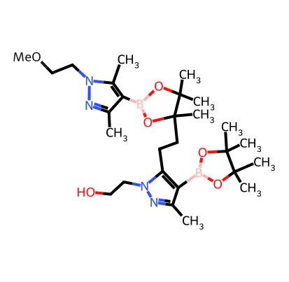 COCCn1nc(C)c(B2OC(C)(C)C(C)(CCc3c(B4OC(C)(C)C(C)(C)O4)c(C)nn3CCO)O2)c1C